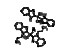 CC(C)(c1nc2ccccc2[nH]1)c1nc2ccccc2[nH]1.CCCn1c(C(C)(C)c2nc3ccccc3n2CCC)nc2ccccc21